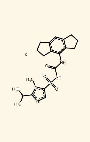 CC(C)c1ncc(S(=O)(=O)NC(=O)Nc2c3c(cc4c2CCC4)CCC3)n1C.[K]